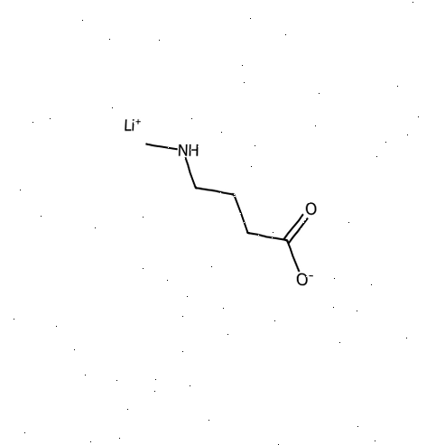 CNCCCC(=O)[O-].[Li+]